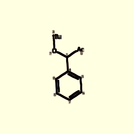 CC(=O)C(OC(C)(C)C)c1ccccc1